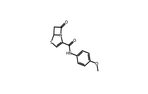 COc1ccc(NC(=O)C2=CSC3CC(=O)N23)cc1